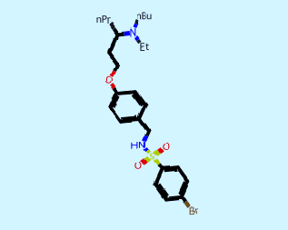 CCCCN(CC)C(CCC)CCOc1ccc(CNS(=O)(=O)c2ccc(Br)cc2)cc1